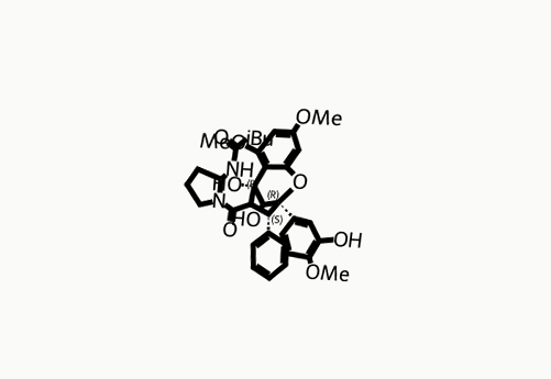 CCC(C)C(=O)NC1CCCN1C(=O)C1[C@@H](c2ccccc2)[C@]2(c3ccc(OC)c(O)c3)Oc3cc(OC)cc(OC)c3[C@@]1(O)C2O